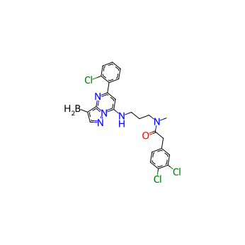 Bc1cnn2c(NCCCN(C)C(=O)Cc3ccc(Cl)c(Cl)c3)cc(-c3ccccc3Cl)nc12